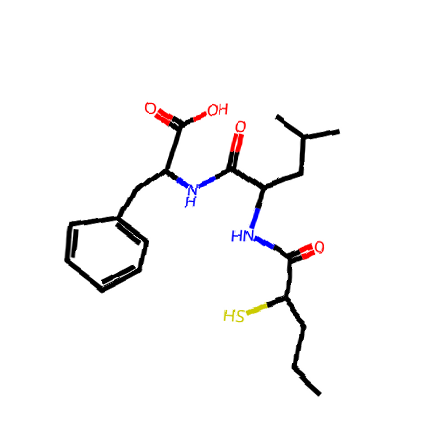 CCCC(S)C(=O)NC(CC(C)C)C(=O)NC(Cc1ccccc1)C(=O)O